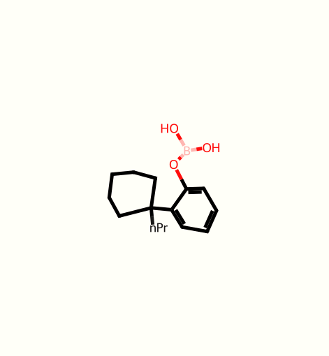 CCCC1(c2ccccc2OB(O)O)CCCCC1